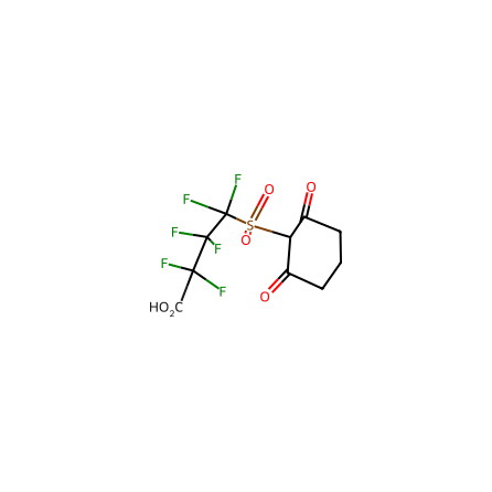 O=C1CCCC(=O)C1S(=O)(=O)C(F)(F)C(F)(F)C(F)(F)C(=O)O